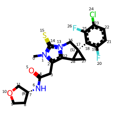 Cn1c(CC(=O)N[C@@H]2CCOC2)c2n(c1=S)C[C@@]1(c3c(F)ccc(Cl)c3F)CC21